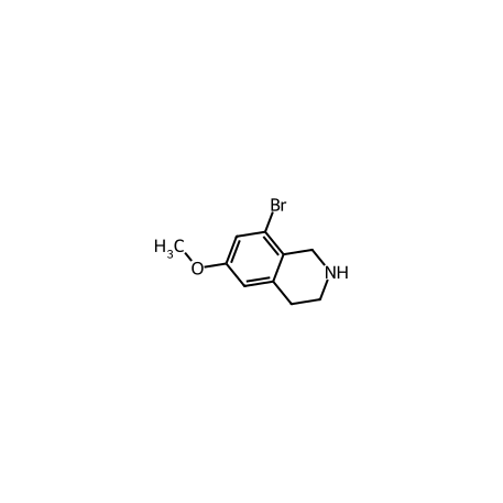 COc1cc(Br)c2c(c1)CCNC2